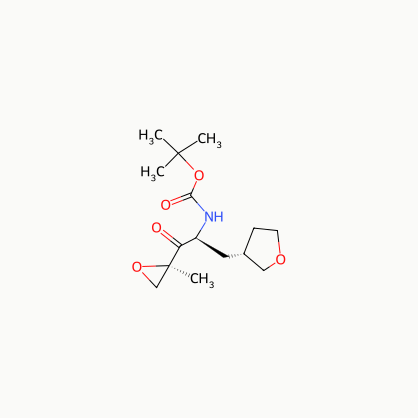 CC(C)(C)OC(=O)N[C@@H](C[C@@H]1CCOC1)C(=O)[C@@]1(C)CO1